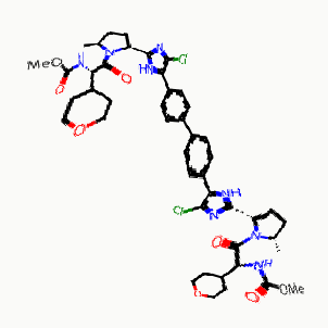 COC(=O)N[C@H](C(=O)N1[C@@H](C)CC[C@H]1c1nc(Cl)c(-c2ccc(-c3ccc(-c4[nH]c([C@@H]5CC[C@H](C)N5C(=O)[C@@H](NC(=O)OC)C5CCOCC5)nc4Cl)cc3)cc2)[nH]1)C1CCOCC1